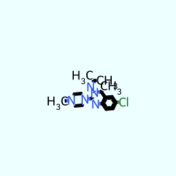 CC(C)=NN1C(N2CCN(C)CC2)=Nc2ccc(Cl)cc2C1C